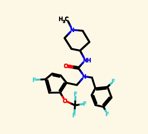 CN1CCC(NC(=O)N(Cc2ccc(F)cc2F)Cc2ccc(F)cc2OC(F)(F)F)CC1